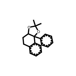 CC1(C)OC2CCc3ccccc3C2(c2ccccc2)O1